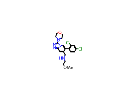 COCCNCc1cc2nnc(N3CCOCC3)n2cc1-c1ccc(Cl)cc1Cl